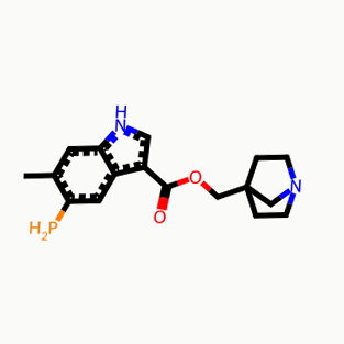 Cc1cc2[nH]cc(C(=O)OCC34CCN(CC3)C4)c2cc1P